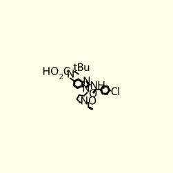 C=CC(=O)N1CCCC1Cn1c(NC(=O)c2ccc(Cl)cc2)nc2cc(CN(C(=O)O)C(C)C(C)(C)C)ccc21